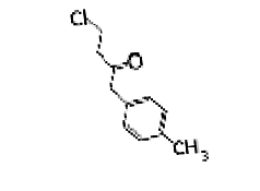 Cc1ccc(CC(=O)CCCl)cc1